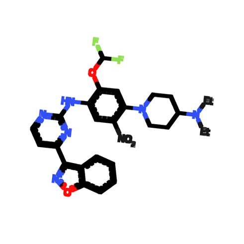 CCN(CC)C1CCN(c2cc(OC(F)F)c(Nc3nccc(-c4noc5ccccc45)n3)cc2[N+](=O)[O-])CC1